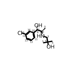 C[C@@H](NCC(C)(C)O)[C@@H](O)c1cccc(Cl)c1